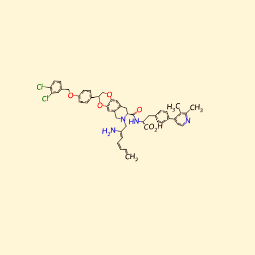 C=C/C=C\C=C(/N)CN1Cc2cc3c(cc2C[C@H]1C(=O)N[C@@H](Cc1ccc(-c2ccnc(C)c2C)cc1)C(=O)O)OC[C@H](c1ccc(OCc2ccc(Cl)c(Cl)c2)cc1)O3